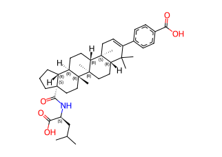 CC(C)C[C@H](NC(=O)[C@]12CCC[C@@H]1[C@H]1CC[C@@H]3[C@@]4(C)CC=C(c5ccc(C(=O)O)cc5)C(C)(C)[C@@H]4CC[C@@]3(C)[C@]1(C)CC2)C(=O)O